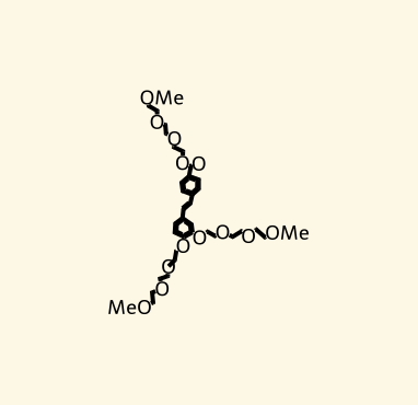 COCCOCCOCCOC(=O)c1ccc(C=Cc2ccc(OCCOCCOCCOC)c(OCCOCCOCCOC)c2)cc1